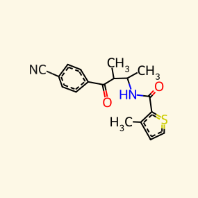 Cc1ccsc1C(=O)NC(C)C(C)C(=O)c1ccc(C#N)cc1